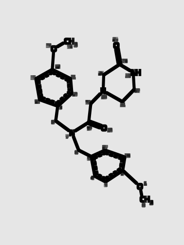 COc1ccc(CN(Cc2ccc(OC)cc2)C(=O)CN2CCNC(=O)C2)cc1